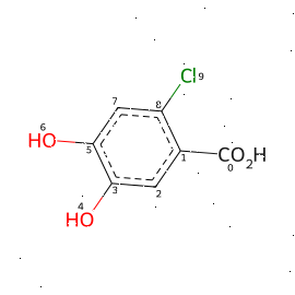 O=C(O)c1cc(O)c(O)cc1Cl